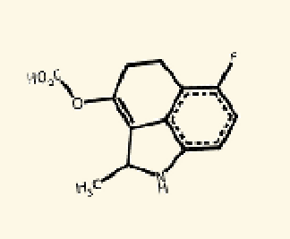 CC1Nc2ccc(F)c3c2C1=C(OC(=O)O)CC3